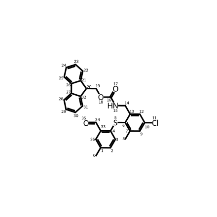 Cc1ccc(Sc2c(C)cc(Cl)cc2CNC(=O)OCC2c3ccccc3-c3ccccc32)c(C=O)c1